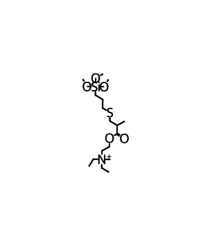 CC[N+](C)(CC)CCOC(=O)C(C)CSCCC[Si](OC)(OC)OC